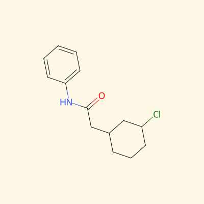 O=C(CC1CCCC(Cl)C1)Nc1ccccc1